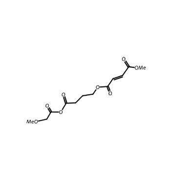 COCC(=O)OC(=O)CCCOC(=O)/C=C/C(=O)OC